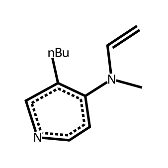 C=CN(C)c1ccncc1CCCC